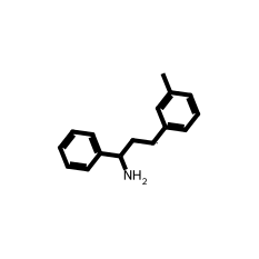 Cc1cccc([CH]CC(N)c2ccccc2)c1